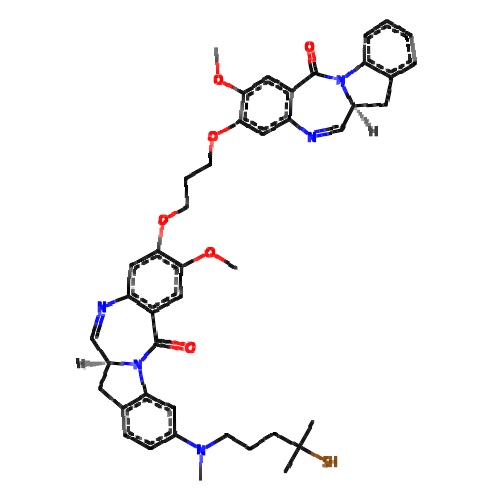 COc1cc2c(cc1OCCCOc1cc3c(cc1OC)C(=O)N1c4cc(N(C)CCCC(C)(C)S)ccc4C[C@H]1C=N3)N=C[C@@H]1Cc3ccccc3N1C2=O